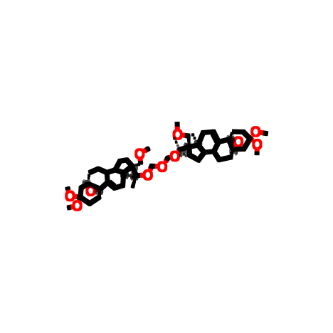 COC[C@@]1([C@H](C)OCOCO[C@H](C)[C@@]2(COC)CCC3C4CC[C@@]56CC(OC)(OC)CC[C@@]5(O6)C4=CC[C@@]32C)CCC2C3CC[C@]45CC(OC)(OC)CC[C@]4(O5)C3=CC[C@@]21C